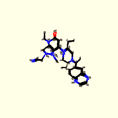 CC[C@H]1CN(C(C)c2ccc3nccnc3c2)[C@H](CC)CN1c1cc(=O)n(CC)c2c1N(C)N(CC#N)C2